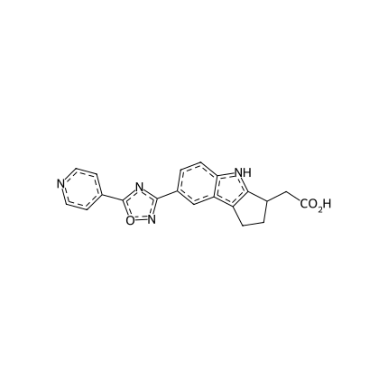 O=C(O)CC1CCc2c1[nH]c1ccc(-c3noc(-c4ccncc4)n3)cc21